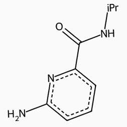 CC(C)NC(=O)c1cccc(N)n1